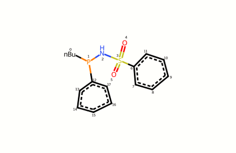 CCCCP(NS(=O)(=O)c1ccccc1)c1ccccc1